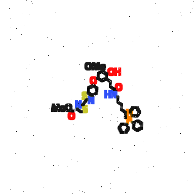 COC(=O)[C@H]1CSC(c2nc3ccc(Oc4cc(CCC(=O)NCCCCCC[PH](c5ccccc5)(c5ccccc5)c5ccccc5)c(O)c(OC)c4)cc3s2)=N1